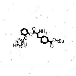 CC(C)(C)OC(=O)c1ccc(CC(N)C(=O)Oc2ccccc2On2pn[pH][nH][pH]2)cc1